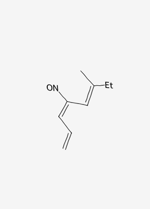 C=C/C=C(\C=C(/C)CC)N=O